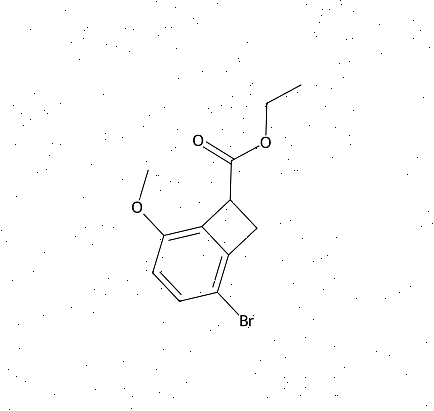 CCOC(=O)C1Cc2c(Br)ccc(OC)c21